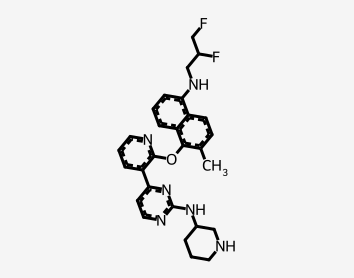 Cc1ccc2c(NCC(F)CF)cccc2c1Oc1ncccc1-c1ccnc(NC2CCCNC2)n1